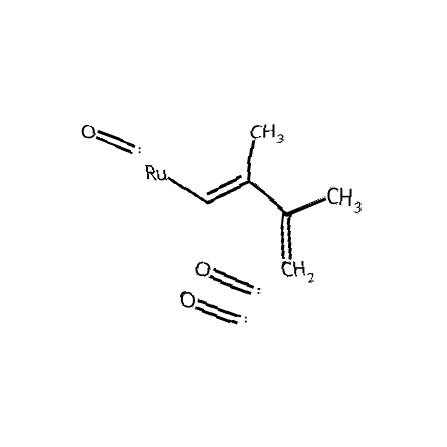 C=C(C)C(C)=[CH][Ru].[C]=O.[C]=O.[C]=O